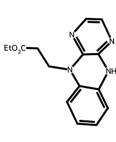 CCOC(=O)CCN1c2ccccc2Nc2nccnc21